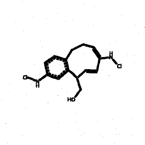 OCC1/C=C/C(NCl)=C\CCc2ccc(NCl)cc21